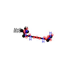 CCC(C)(C)C(=O)C(=O)N1CCCC[C@H]1C(=O)O[C@H](CCc1ccc(OC)c(OC)c1)c1ccccc1NC(=O)CCC(=O)NCCCOCCOCCOCCCNC(=O)COc1cccc2c1C(=O)N(C1CCC(=O)NC1=O)C2=O